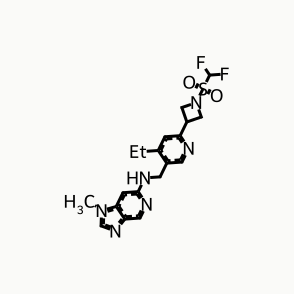 CCc1cc(C2CN(S(=O)(=O)C(F)F)C2)ncc1CNc1cc2c(cn1)ncn2C